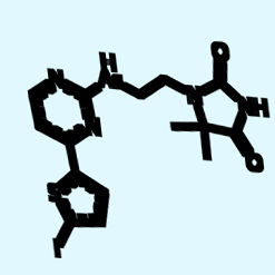 CC1(C)C(=O)NC(=O)N1CC[AsH]c1nccc(-c2ccc(I)s2)n1